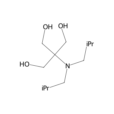 CC(C)CN(CC(C)C)C(CO)(CO)CO